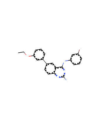 CCOc1cccc(-c2ccc3nc(N)nc(Nc4cccc(Br)c4)c3c2)c1